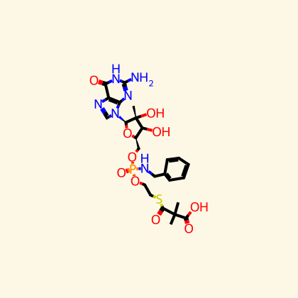 CC(C)(C(=O)O)C(=O)SCCOP(=O)(NCc1ccccc1)OC[C@H]1O[C@@H](n2cnc3c(=O)[nH]c(N)nc32)[C@](C)(O)C1O